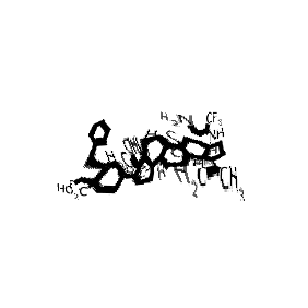 C=C(C)[C@@H]1CC[C@]2(NC(CN)C(F)(F)F)CC[C@]3(C)[C@H](CC[C@@H]4[C@@]5(C)CC=C(C6=CC(Cc7ccccc7)[C@](CF)(C(=O)O)CC6)C(C)(C)[C@@H]5CC[C@]43C)[C@@H]12